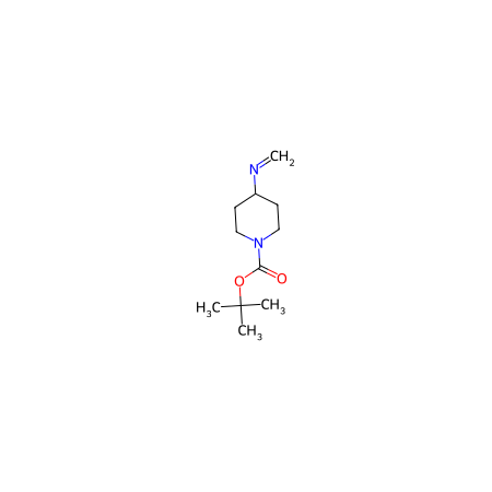 C=NC1CCN(C(=O)OC(C)(C)C)CC1